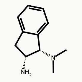 CN(C)[C@H]1c2ccccc2C[C@H]1N